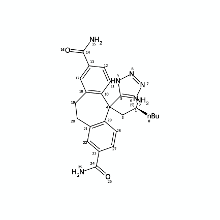 CCCC[C@H](N)CC1(c2nnn[nH]2)c2ccc(C(N)=O)cc2CCc2cc(C(N)=O)ccc21